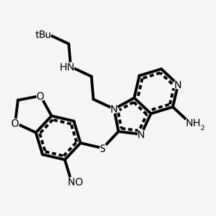 CC(C)(C)CNCCn1c(Sc2cc3c(cc2N=O)OCO3)nc2c(N)nccc21